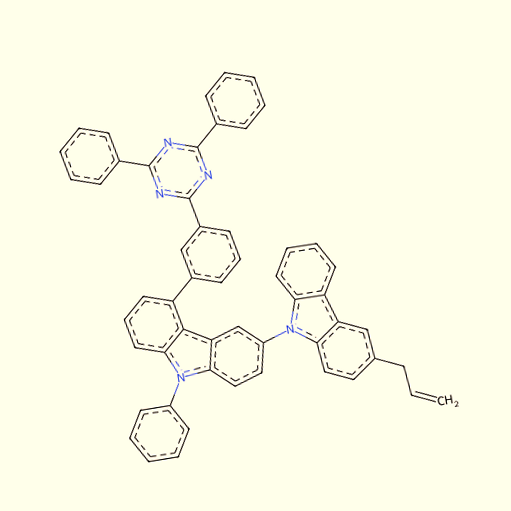 C=CCc1ccc2c(c1)c1ccccc1n2-c1ccc2c(c1)c1c(-c3cccc(-c4nc(-c5ccccc5)nc(-c5ccccc5)n4)c3)cccc1n2-c1ccccc1